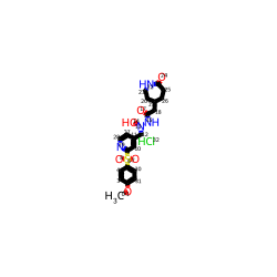 COc1ccc(S(=O)(=O)c2cc(CN(O)NC(=O)CC3CCNC(=O)CC3)ccn2)cc1.Cl